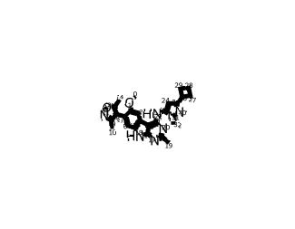 COc1cc2c(cc1-c1c(C)noc1C)[nH]c1nc(C)nc(Nc3cc(C4CCC4)nn3C)c12